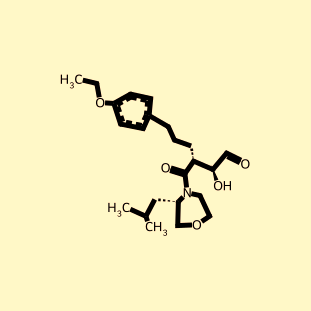 CCOc1ccc(CCC[C@@H](C(=O)N2CCOC[C@@H]2CC(C)C)[C@H](O)C=O)cc1